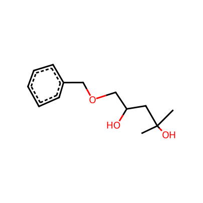 CC(C)(O)CC(O)COCc1ccccc1